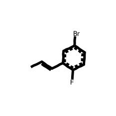 C/C=C/c1cc(Br)ccc1F